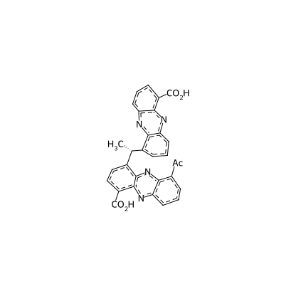 CC(=O)c1cccc2nc3c(C(=O)O)ccc([C@H](C)c4cccc5nc6c(C(=O)O)cccc6nc45)c3nc12